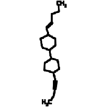 CCC#CC1CCC(C2CCC(C=CCCC)CC2)CC1